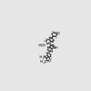 C[C@@H]1OCC2(CCN(c3cnc4c(N5CCCc6nc(C7=CCNCC7)ccc65)n[nH]c4n3)CC2)[C@@H]1N.Cl